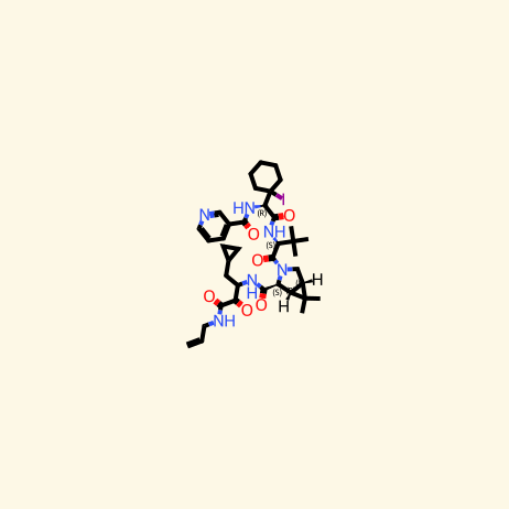 C=CCNC(=O)C(=O)C(CC1CC1)NC(=O)[C@@H]1[C@@H]2[C@H](CN1C(=O)[C@@H](NC(=O)[C@@H](NC(=O)c1cccnc1)C1(I)CCCCC1)C(C)(C)C)C2(C)C